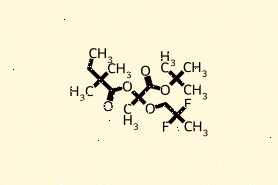 CCC(C)(C)C(=O)OC(C)(OCC(C)(F)F)C(=O)OC(C)(C)C